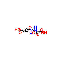 O=[C][C@H](CCC(=O)O)NC(=O)CNC(=O)c1ccc(C=CC(=O)O)cc1